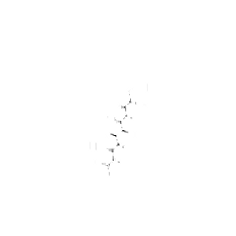 O=C(C(=O)[C@H](O)[C@@H](O)[C@H](O)[C@H](O)CO)[C@H](O)[C@@H](O)[C@H](O)[C@H](O)CO